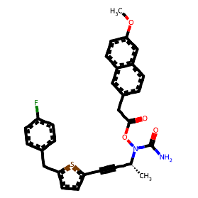 COc1ccc2cc(CC(=O)ON(C(N)=O)[C@H](C)C#Cc3ccc(Cc4ccc(F)cc4)s3)ccc2c1